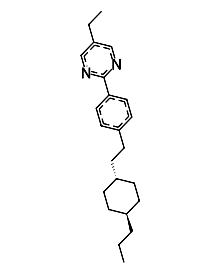 CCC[C@H]1CC[C@H](CCc2ccc(-c3ncc(CC)cn3)cc2)CC1